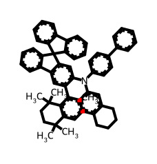 Cc1ccc2c(c1-c1cc3c(cc1N(c1ccc(-c4ccccc4)cc1)c1ccc4c(c1)CCCC4)C1(c4ccccc4-c4ccccc41)c1ccccc1-3)C(C)(C)CCC2(C)C